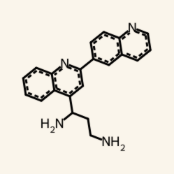 NCCC(N)c1cc(-c2ccc3ncccc3c2)nc2ccccc12